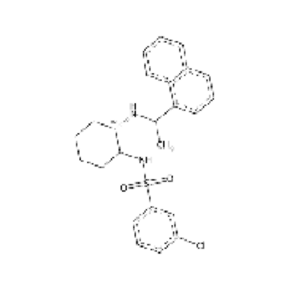 CC(N[C@H]1CCCCC1NS(=O)(=O)c1cccc(Cl)c1)c1cccc2ccccc12